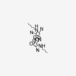 CCCCCCNc1c(C#N)cc(OC)c(OC(=O)Oc2c(OC)cc(C#N)c(NCCCCCC)c2C#N)c1C#N